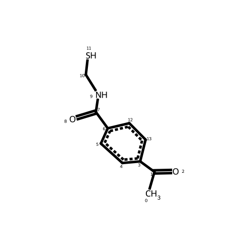 CC(=O)c1ccc(C(=O)NCS)cc1